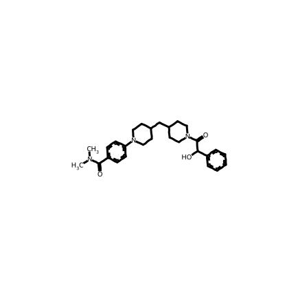 CN(C)C(=O)c1ccc(N2CCC(CC3CCN(C(=O)C(O)c4ccccc4)CC3)CC2)cc1